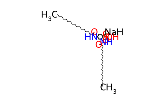 CCCCCCCCCCCCCCCCCC(=O)Nc1ccc(S(=O)(=O)O)c(NC(=O)CCCCCCCCCCCCCCCCC)c1.[NaH]